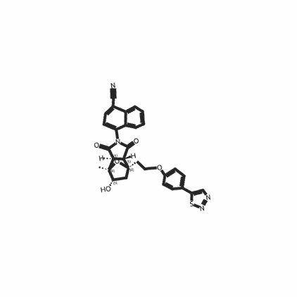 C[C@]12O[C@](CCOc3ccc(-c4cnns4)cc3)(C[C@@H]1O)[C@H]1C(=O)N(c3ccc(C#N)c4ccccc34)C(=O)[C@@H]12